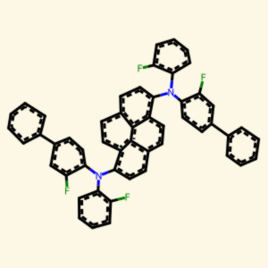 Fc1ccccc1N(c1ccc(-c2ccccc2)cc1F)c1ccc2ccc3c(N(c4ccccc4F)c4ccc(-c5ccccc5)cc4F)ccc4ccc1c2c43